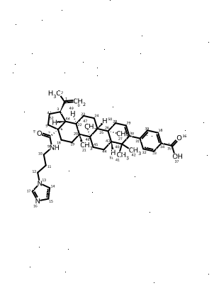 C=C(C)[C@@H]1CC[C@]2(C(=O)NCCCn3ccnc3)CC[C@]3(C)[C@H](CC[C@@H]4[C@@]5(C)CC=C(c6ccc(C(=O)O)cc6)C(C)(C)[C@@H]5CC[C@]43C)[C@@H]12